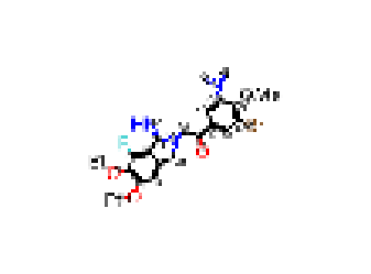 CCOc1cc2c(c(F)c1OCC)C(=N)N(CC(=O)c1cc(Br)c(OC)c(N(C)C)c1)C2